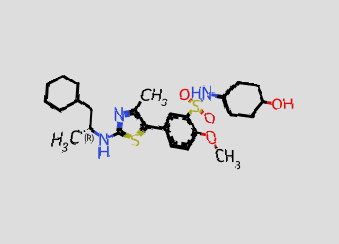 COc1ccc(-c2sc(N[C@H](C)CC3CCCCC3)nc2C)cc1S(=O)(=O)NC1CCC(O)CC1